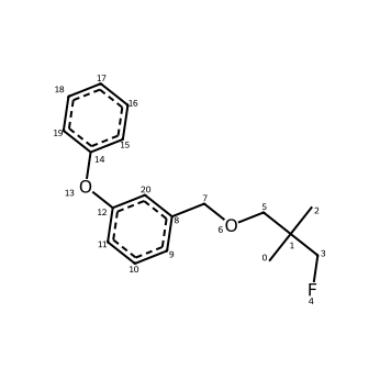 CC(C)(CF)COCc1cccc(Oc2ccccc2)c1